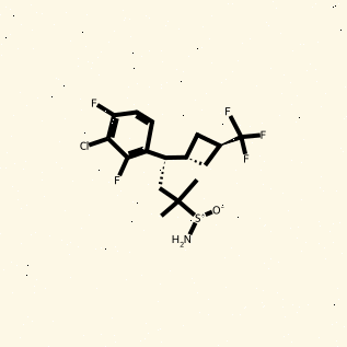 CC(C)(C[C@H](c1ccc(F)c(Cl)c1F)[C@H]1C[C@H](C(F)(F)F)C1)[S+](N)[O-]